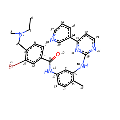 CCN(C)Cc1ccc(C(=O)Nc2ccc(C)c(Nc3nccc(-c4cccnc4)n3)c2)cc1Br